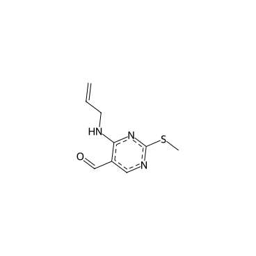 C=CCNc1nc(SC)ncc1C=O